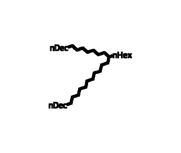 [CH2]CCCCCC(CCCCCCCCCCCCCCCCC)CCCCCCCCCCCCCCCCCCCCC